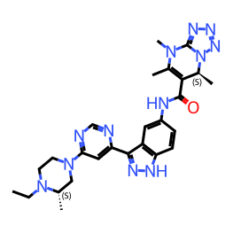 CCN1CCN(c2cc(-c3n[nH]c4ccc(NC(=O)C5=C(C)N(C)c6nnnn6[C@H]5C)cc34)ncn2)C[C@@H]1C